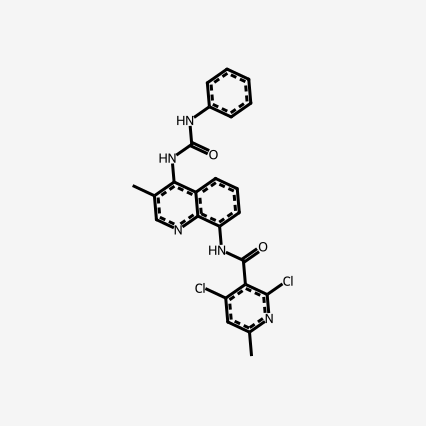 Cc1cc(Cl)c(C(=O)Nc2cccc3c(NC(=O)Nc4ccccc4)c(C)cnc23)c(Cl)n1